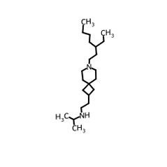 CCCCC(CC)CCN1CCC2(CC1)CC(CCNC(C)C)C2